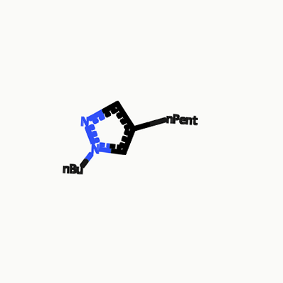 CCCCCc1cnn(CCCC)c1